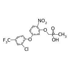 CP(=O)(O)COc1cc(Oc2ccc(C(F)(F)F)cc2Cl)ccc1[N+](=O)[O-]